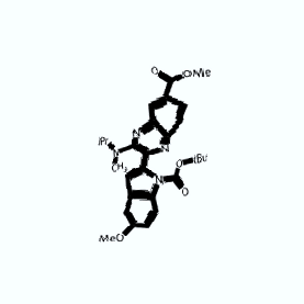 COC(=O)c1ccc2nc(-c3cc4cc(OC)ccc4n3C(=O)OC(C)(C)C)c(N(C)C(C)C)nc2c1